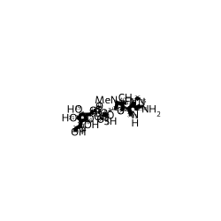 CN[C@@H]1[C@@H](COP(=O)(S)OP(=O)(O)OC2OC3(O)C2C(O)C(O)C3[C@@H](F)CO)O[C@@H](c2c[nH]c3c(N)ncnc23)[C@]1(C)F